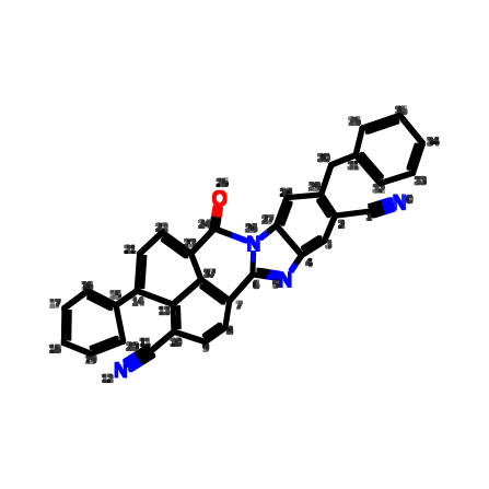 N#Cc1cc2nc3c4ccc(C#N)c5c(-c6ccccc6)ccc(c(=O)n3c2cc1Cc1ccccc1)c54